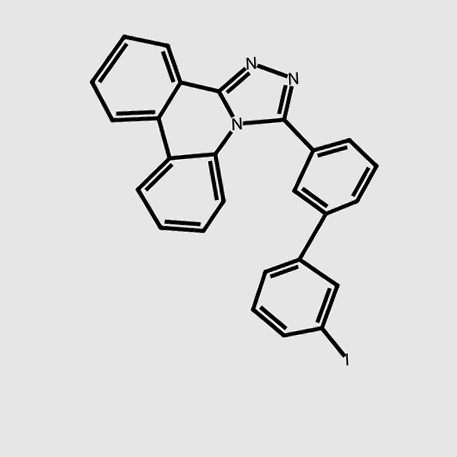 Ic1cccc(-c2cccc(-c3nnc4c5ccccc5c5ccccc5n34)c2)c1